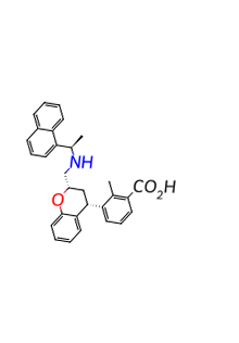 Cc1c(C(=O)O)cccc1[C@H]1C[C@@H](CN[C@H](C)c2cccc3ccccc23)Oc2ccccc21